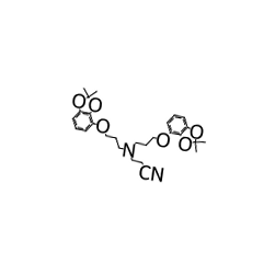 CC1(C)Oc2cccc(OCCCN(CCC#N)CCCOc3cccc4c3OC(C)(C)O4)c2O1